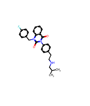 CC(C)CNCCc1ccc(-n2c(=O)c3ccccc3n(Cc3ccc(F)cc3)c2=O)cc1